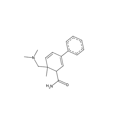 CN(C)CC1(C)C=CC(c2ccccc2)=CC1C(N)=O